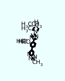 Cl.Cl.Cn1nc2cc(-c3ccc(-c4cnc(N5CCN[C@@H](C(C)(C)C)C5)nn4)c(O)c3)cnc2n1